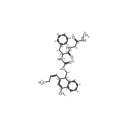 CC/C=C\C1=C=C(C)c2ccccc2C1COC(=O)NC(Cc1ccccc1)C(=O)NCC(=O)NC